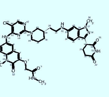 CNC(=O)COc1cc2cc(Nc3nc(N4CCC[C@@H](CCNc5ccc6c([C@H]7CCC(=O)NC7=O)nn(C)c6c5)C4)ncc3Cl)ccc2n(C)c1=O